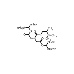 CCCCCCCC(CCCCCC)OC(=O)CN(CC(=O)OC(CCCCCC)CCCCCCC)C(=O)SCC(C)N(C)C